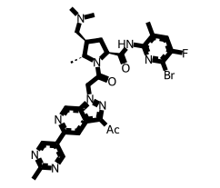 CC(=O)c1nn(CC(=O)N2[C@H](C)[C@@H](CN(C)C)C[C@H]2C(=O)Nc2nc(Br)c(F)cc2C)c2cnc(-c3cnc(C)nc3)cc12